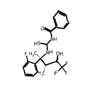 C[C@@H](C(O)C(F)(F)F)[C@](C)(NC(S)NC(=O)c1ccccc1)c1ccccc1F